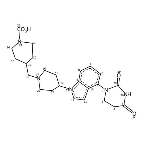 O=C1CCN(c2cccc3c2ccn3C2CCN(CC3CCN(C(=O)O)CC3)CC2)C(=O)N1